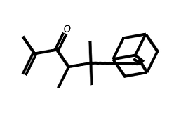 C=C(C)C(=O)C(C)C(C)(C)C1=C2C3CC(C1)CC2C3